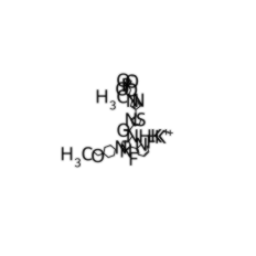 CCOC1CCC(n2cc(NC(=O)c3csc(-c4cnn(C(C)OP(=O)([O-])[O-])c4)n3)c(-c3nc(F)ccc3F)n2)CC1.[K+].[K+]